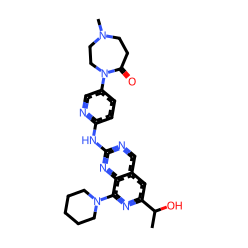 CC(O)c1cc2cnc(Nc3ccc(N4CCN(C)CCC4=O)cn3)nc2c(N2CCCCC2)n1